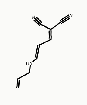 C=CCNC=CC=C(C#N)C#N